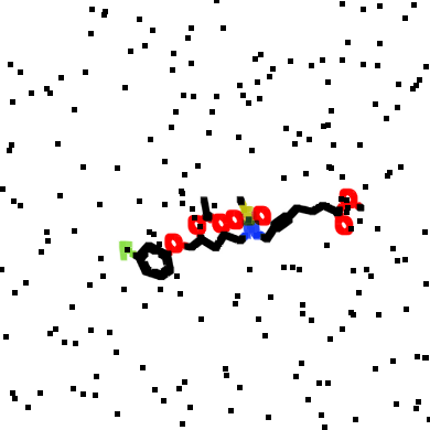 COC(=O)CCCC#CCN(CCCC(COc1cccc(F)c1)OC(C)=O)S(C)(=O)=O